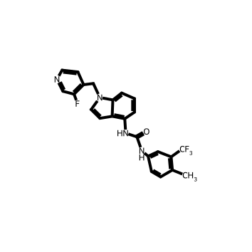 Cc1ccc(NC(=O)Nc2cccc3c2ccn3Cc2ccncc2F)cc1C(F)(F)F